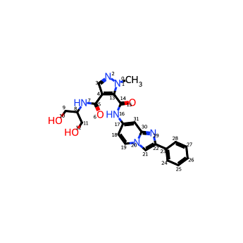 Cn1ncc(C(=O)NC(CO)CO)c1C(=O)Nc1ccn2cc(-c3ccccc3)nc2c1